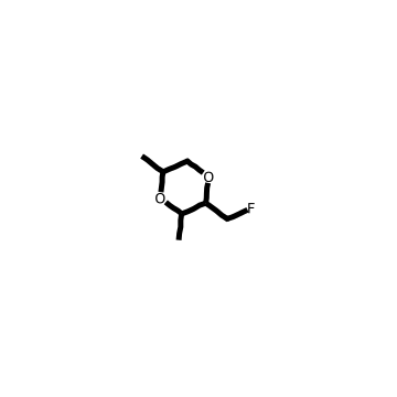 CC1COC(CF)C(C)O1